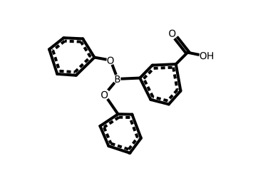 O=C(O)c1cccc(B(Oc2ccccc2)Oc2ccccc2)c1